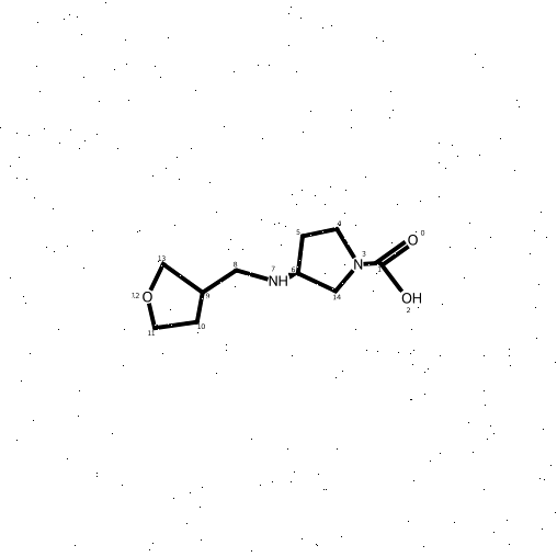 O=C(O)N1CC[C@H](NCC2CCOC2)C1